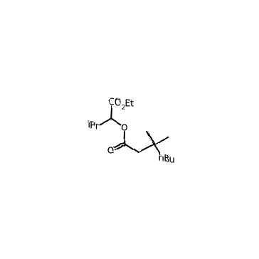 CCCCC(C)(C)CC(=O)OC(C(=O)OCC)C(C)C